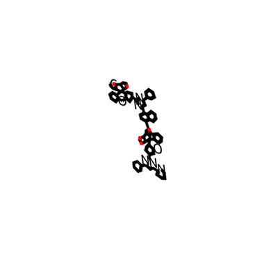 C1=CCCC(c2cc(-c3ccccn3)nc(-c3ccc4c(c3)Oc3ccccc3C43c4ccc(-c5ccc(-c6cc(-c7ccccc7)nc(-c7ccc8c(c7)Oc7ccccc7C87c8ccccc8C8C=CC=CC87)n6)c6ccccc56)cc4C4C=CC=CC43)n2)=C1